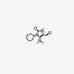 CN(C)c1c(C=O)n(C)c(=O)n1C1CCCCC1